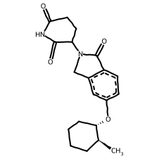 C[C@H]1CCCC[C@@H]1Oc1ccc2c(c1)CN(C1CCC(=O)NC1=O)C2=O